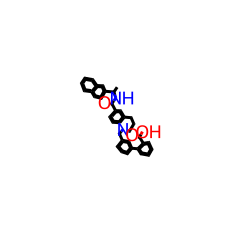 CC(NC(=O)c1ccc2c(c1)CCCN2Cc1cccc(-c2ccccc2C(=O)O)c1)c1ccc2ccccc2c1